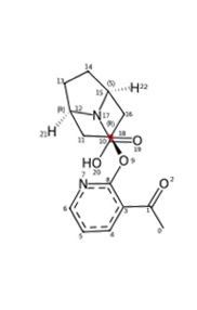 CC(=O)c1cccnc1O[C@H]1C[C@H]2CC[C@@H](C1)N2C(=O)O